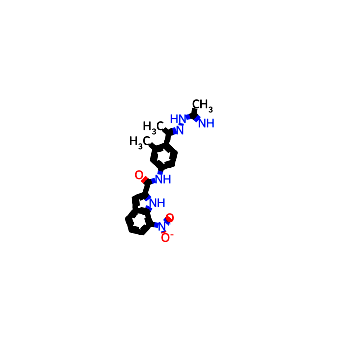 CC(=N)N/N=C(\C)c1ccc(NC(=O)c2cc3cccc([N+](=O)[O-])c3[nH]2)cc1C